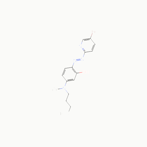 CCCN(CCCS(=O)(=O)O)c1ccc(/N=N/c2ccc(Br)cn2)c(O)c1